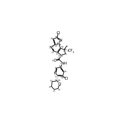 C[C@@]1(C(F)(F)F)CN(C(=O)Nc2cnc([C@H]3CCCCO3)c(Cl)c2)c2cnc3cc(Cl)nn3c21